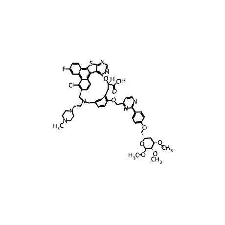 CO[C@H]1O[C@H](COc2ccc(-c3nccc(COc4ccc5cc4C[C@H](C(=O)O)Oc4ncnc6sc7c8ccc(F)cc8c8c(Cl)c(ccc8c7c46)CN(CCN4CCN(C)CC4)C5)n3)cc2)C[C@H](OC)[C@@H]1OC